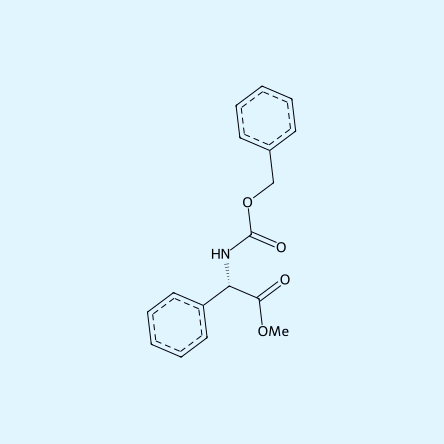 COC(=O)[C@@H](NC(=O)OCc1ccccc1)c1ccccc1